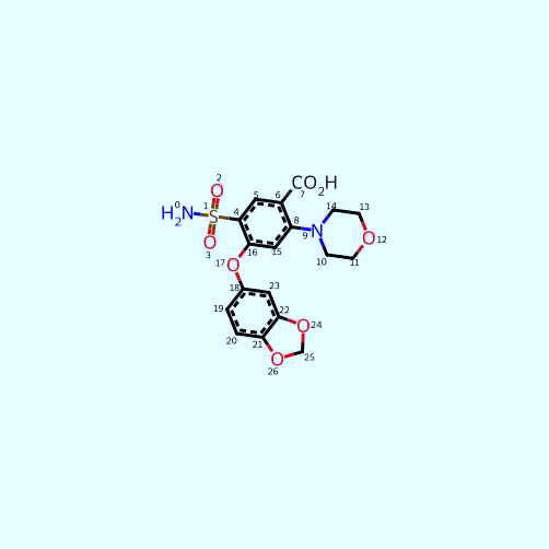 NS(=O)(=O)c1cc(C(=O)O)c(N2CCOCC2)cc1Oc1ccc2c(c1)OCO2